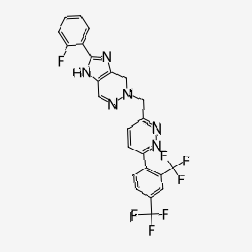 Fc1ccccc1-c1nc2c([nH]1)C=NN(Cc1ccc(-c3ccc(C(F)(F)F)cc3C(F)(F)F)nn1)C2